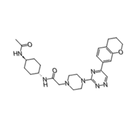 CC(=O)N[C@H]1CC[C@H](NC(=O)CN2CCN(c3nncc(-c4ccc5c(c4)OCCC5)n3)CC2)CC1